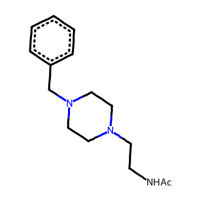 CC(=O)NCCN1CCN(Cc2ccccc2)CC1